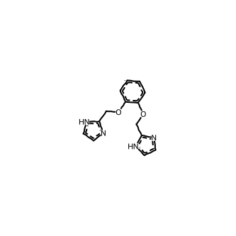 [c]1ccc(OCc2ncc[nH]2)c(OCc2ncc[nH]2)c1